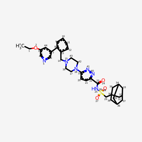 CCOc1cncc(-c2ccccc2CN2CCN(c3ccc(C(=O)NS(=O)(=O)CC45CC6CC(CC(C6)C4)C5)nn3)CC2)c1